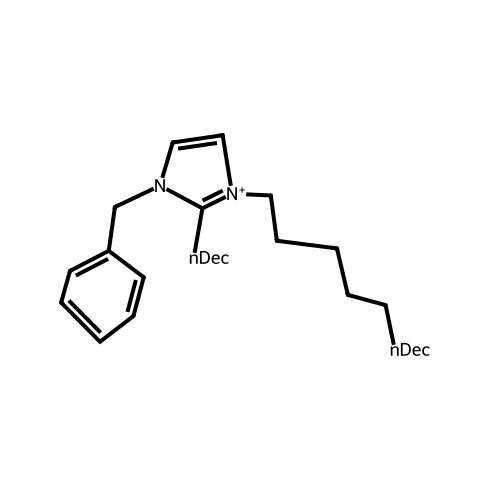 CCCCCCCCCCCCCCC[n+]1ccn(Cc2ccccc2)c1CCCCCCCCCC